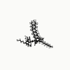 [2H]c1cc(CCCCC)cc([2H])c1C#Cc1c(F)c(CCCCCCCCCC)c(Br)c(CCCCCCCCCC)c1CCCCCCCCCC